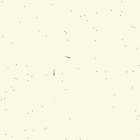 C=C(/C=C(\N=N/C)C1CC1)[C@H]1C[C@@]1(c1ccccc1)C(F)C(=O)NO